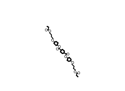 C=CC(=O)OCCCCOc1ccc(OC(=O)c2ccc(C(=O)Oc3ccc(OCCCCOC(=O)C=C)cc3)cc2)cc1